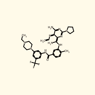 C=C/N=C1/C(N)=NC(N2CCCC2)=N/C1=C(/N)Nc1cc(C(=O)Nc2cc(N3CCN(CC)CC3)cc(C(F)(F)F)c2)ccc1C